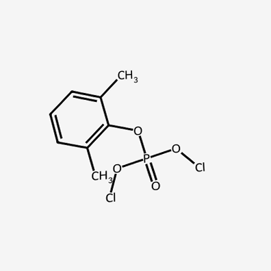 Cc1cccc(C)c1OP(=O)(OCl)OCl